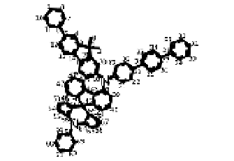 CC1(C)c2cc(-c3ccccc3)ccc2-c2ccc(N(c3ccc(-c4ccc(-c5ccccc5)cc4)cc3)c3cccc4c3-c3ccccc3C43c4ccccc4N(c4ccccc4)c4ccccc43)cc21